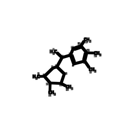 Cc1cc(C(C)C2CC(C)C(C)C(C)C2)cc(C)c1C